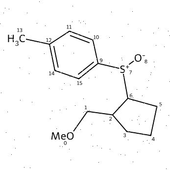 COCC1CCCC1[S+]([O-])c1ccc(C)cc1